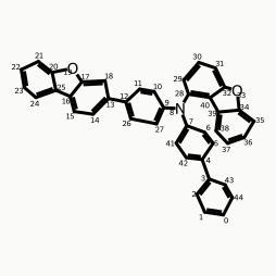 c1ccc(-c2ccc(N(c3ccc(-c4ccc5c(c4)oc4ccccc45)cc3)c3cccc4oc5ccccc5c34)cc2)cc1